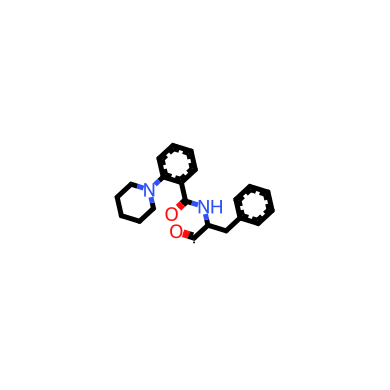 O=[C]C(Cc1ccccc1)NC(=O)c1ccccc1N1CCCCC1